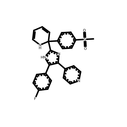 CS(=O)(=O)c1ccc(C2(c3nc(-c4ccncc4)c(-c4ccc(F)cc4)[nH]3)C=CC=CN2)cc1